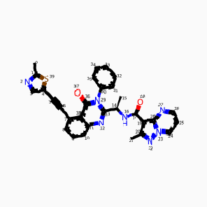 Cc1ncc(C#Cc2cccc3nc([C@@H](C)NC(=O)c4c(C)nn5cccnc45)n(-c4ccccc4)c(=O)c23)s1